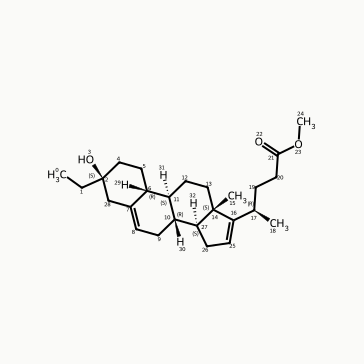 CC[C@]1(O)CC[C@H]2C(=CC[C@@H]3[C@@H]2CC[C@]2(C)C([C@H](C)CCC(=O)OC)=CC[C@@H]32)C1